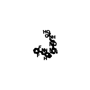 CC1(C)[C@H]2CC[C@]1(c1cncc(-c3nc(CNC(=O)CO)co3)n1)c1nnc(-c3c(F)cccc3F)cc12